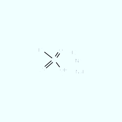 O=S(O)(O)=S.[Na+].[NaH].[OH-]